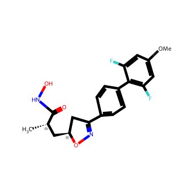 COc1cc(F)c(-c2ccc(C3=NO[C@@H](C[C@H](C)C(=O)NO)C3)cc2)c(F)c1